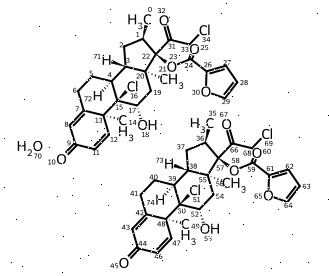 C[C@@H]1C[C@H]2[C@@H]3CCC4=CC(=O)C=C[C@]4(C)[C@@]3(Cl)[C@@H](O)C[C@]2(C)[C@@]1(OC(=O)c1ccco1)C(=O)CCl.C[C@@H]1C[C@H]2[C@@H]3CCC4=CC(=O)C=C[C@]4(C)[C@@]3(Cl)[C@@H](O)C[C@]2(C)[C@@]1(OC(=O)c1ccco1)C(=O)CCl.O